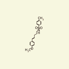 COc1ccc(C=CCCCNS(=O)(=O)c2ccc(C)cc2)cc1